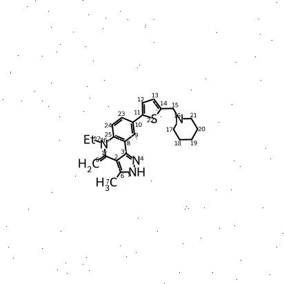 C=C1c2c(n[nH]c2C)-c2cc(-c3ccc(CN4CCCCC4)s3)ccc2N1CC